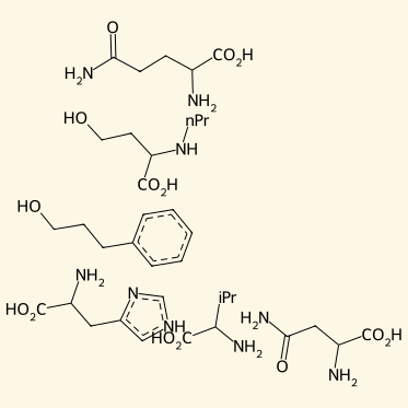 CC(C)C(N)C(=O)O.CCCNC(CCO)C(=O)O.NC(=O)CC(N)C(=O)O.NC(=O)CCC(N)C(=O)O.NC(Cc1c[nH]cn1)C(=O)O.OCCCc1ccccc1